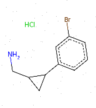 Cl.NCC1CC1c1cccc(Br)c1